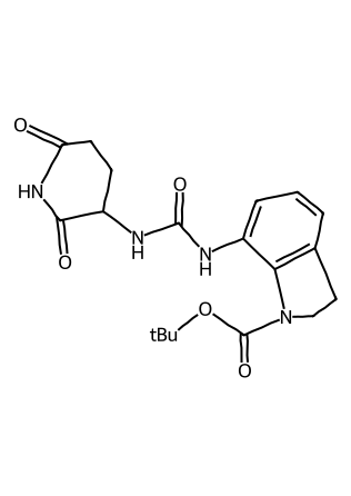 CC(C)(C)OC(=O)N1CCc2cccc(NC(=O)NC3CCC(=O)NC3=O)c21